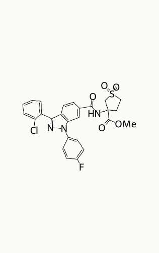 COC(=O)C1(NC(=O)c2ccc3c(-c4ccccc4Cl)nn(-c4ccc(F)cc4)c3c2)CCS(=O)(=O)C1